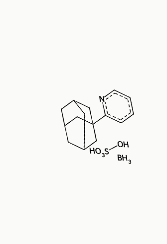 B.O=S(=O)(O)O.c1ccc(C23CC4CC(CC(C4)C2)C3)nc1